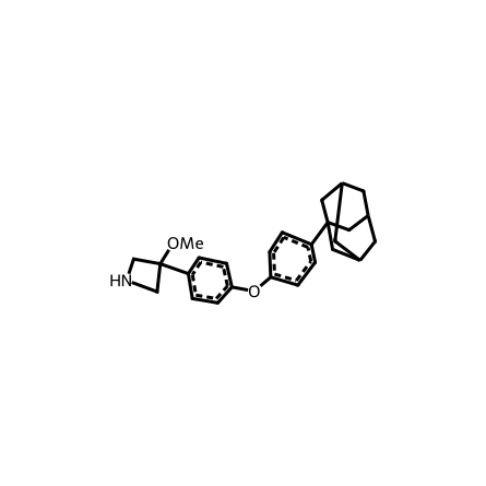 COC1(c2ccc(Oc3ccc(C45CC6CC(CC(C6)C4)C5)cc3)cc2)CNC1